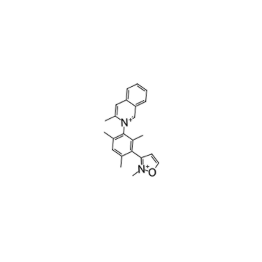 Cc1cc(C)c(-[n+]2cc3ccccc3cc2C)c(C)c1-c1cco[n+]1C